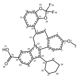 COc1ccc2c(c1)C=C(c1cccc3c1OC(F)(F)O3)Cn1c-2c(C2CCCCC2)c2ccc(C(=O)O)cc21